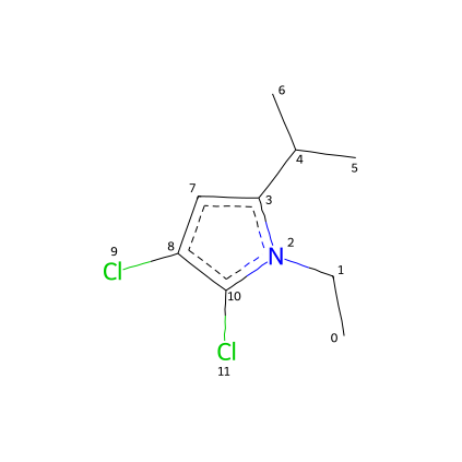 CCn1c(C(C)C)cc(Cl)c1Cl